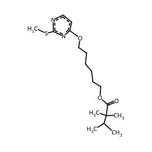 CSc1nccc(OCCCCCCOC(=O)C(C)(C)C(C)C)n1